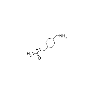 NCC1CCC(CNC(N)=O)CC1